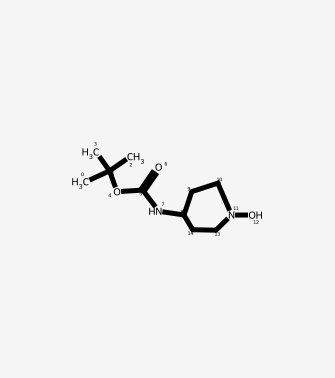 CC(C)(C)OC(=O)NC1CCN(O)CC1